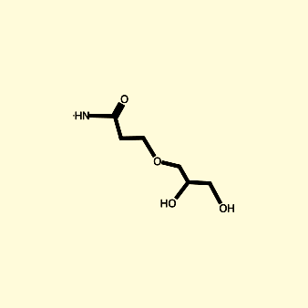 [NH]C(=O)CCOCC(O)CO